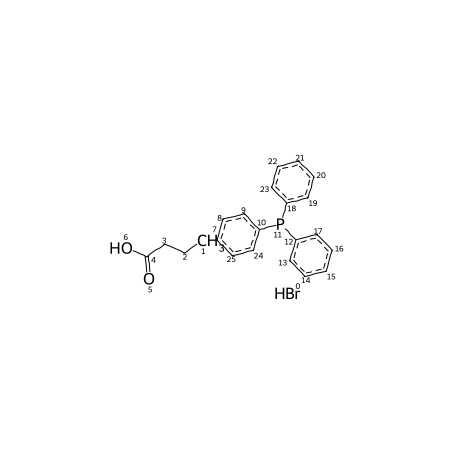 Br.CCCC(=O)O.c1ccc(P(c2ccccc2)c2ccccc2)cc1